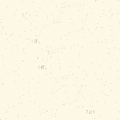 CC(NC(=O)Nc1ccc(N)cc1)c1ccccc1